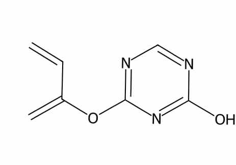 C=CC(=C)Oc1ncnc(O)n1